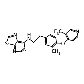 Cc1cc(CCNc2ncnc3scnc23)ccc1Oc1ccncc1C(F)(F)F